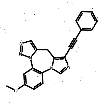 COc1ccc2c(c1)-n1nncc1Cc1c(C#Cc3ccccc3)ncn1-2